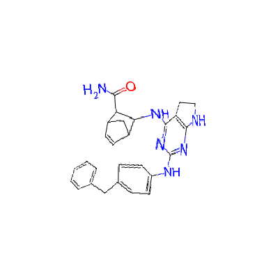 NC(=O)C1C2C=CC(C2)C1Nc1nc(Nc2ccc(Cc3ccccc3)cc2)nc2c1CCN2